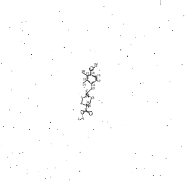 CCOC(=O)N1CCN(CCc2ccc(OC)c(C)c2C)CC1